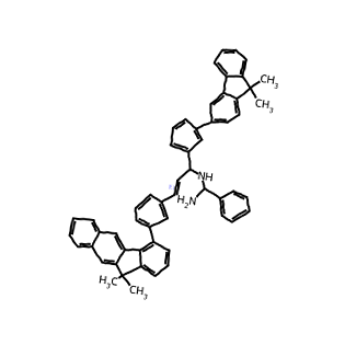 CC1(C)c2ccccc2-c2cc(-c3cccc(C(/C=C/c4cccc(-c5cccc6c5-c5cc7ccccc7cc5C6(C)C)c4)NC(N)c4ccccc4)c3)ccc21